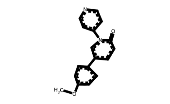 COc1ccc(-c2ccc(=O)n(-c3ccncc3)c2)cc1